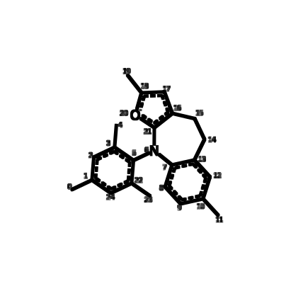 Cc1cc(C)c(N2c3ccc(C)cc3CCc3cc(C)oc32)c(C)c1